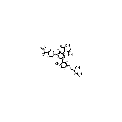 CNC[C@@H](O)COc1ccc(Cl)c(-c2nc(/C(C(C)=N)=C(\C)O)c(C)c(N3CCC(C(=O)N(C)C)CC3)n2)c1